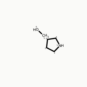 C1CCNC1.CO